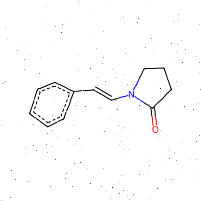 O=C1CCCN1/C=C/c1ccccc1